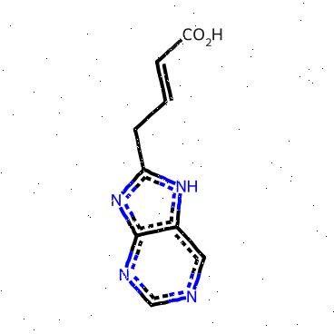 O=C(O)C=CCc1nc2ncncc2[nH]1